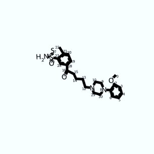 COc1ccccc1N1CCN(CCCCC(=O)c2ccc(C)c(S(N)(=O)=S)c2)CC1